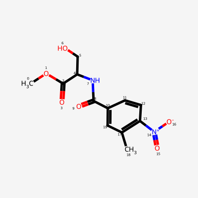 COC(=O)C(CO)NC(=O)c1ccc([N+](=O)[O-])c(C)c1